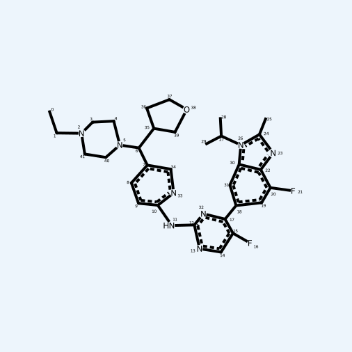 CCN1CCN(C(c2ccc(Nc3ncc(F)c(-c4cc(F)c5nc(C)n(C(C)C)c5c4)n3)nc2)C2CCOC2)CC1